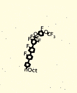 CCCCCCCCc1ccc(-c2ccc(-c3ccc(-c4cc(F)c(C(F)(F)Oc5ccc(OC(F)(F)F)c(F)c5)c(F)c4)c(F)c3)c(F)c2)cc1